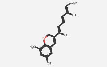 CC(/C=C/C=C(\C)C1=Cc2cc(C)cc(C)c2OC1)=C\C(=O)O